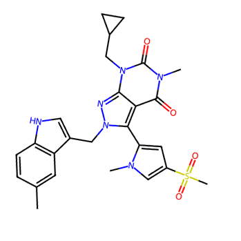 Cc1ccc2[nH]cc(Cn3nc4c(c3-c3cc(S(C)(=O)=O)cn3C)c(=O)n(C)c(=O)n4CC3CC3)c2c1